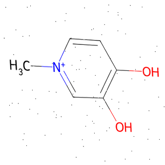 C[n+]1ccc(O)c(O)c1